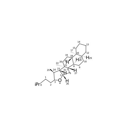 CC(C)CCC1O[C@H]2C[C@H]3[C@@H]4CC[C@@H]5CCCC[C@]5(C)[C@H]4CC[C@]3(C)[C@H]2[C@@H]1C